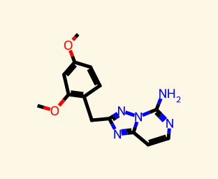 COc1ccc(Cc2nc3ccnc(N)n3n2)c(OC)c1